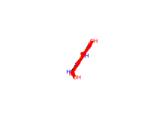 O=C(NCCSCSCCOO/C=N/CCSCSCCNC(=O)OCSCO)OCCSCSCC/N=C/OOCSCO